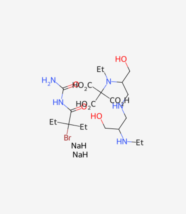 CCC(Br)(CC)C(=O)NC(N)=O.CCNC(CO)CNCC(CO)N(CC)C(C(=O)O)(C(=O)O)C(=O)O.[NaH].[NaH]